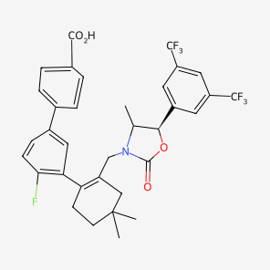 CC1[C@@H](c2cc(C(F)(F)F)cc(C(F)(F)F)c2)OC(=O)N1CC1=C(c2cc(-c3ccc(C(=O)O)cc3)ccc2F)CCC(C)(C)C1